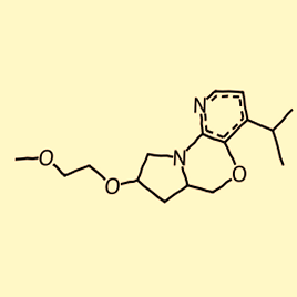 COCCOC1CC2COc3c(C(C)C)ccnc3N2C1